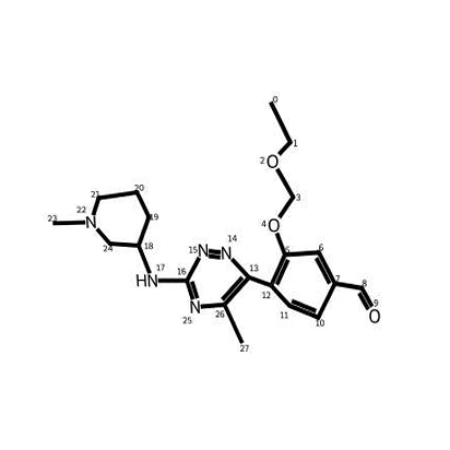 CCOCOc1cc(C=O)ccc1-c1nnc(NC2CCCN(C)C2)nc1C